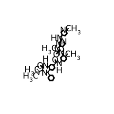 CC[C@@H](C)[C@H]1N=C(c2ccccc2)c2ccc(C(=O)Nc3ccc(C)c(N4Cc5cnc(Nc6ccc(C)nc6)nc5N(C)C4=O)c3)cc2NC1=O